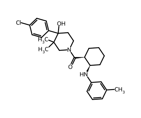 Cc1cccc(N[C@@H]2CCCC[C@@H]2C(=O)N2CCC(O)(c3ccc(Cl)cc3)C(C)(C)C2)c1